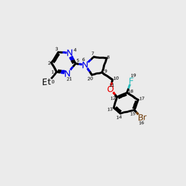 CCc1ccnc(N2CCC(COc3ccc(Br)cc3F)C2)n1